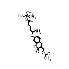 CC(=O)OCc1cc2ccc(OC(N)CCCC(=O)OC(C)(C)C)cc2[nH]c1=O